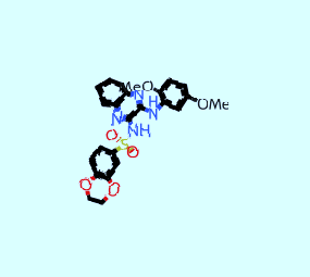 COc1ccc(OC)c(Nc2nc3ccccc3nc2NS(=O)(=O)c2ccc3c(c2)OCCO3)c1